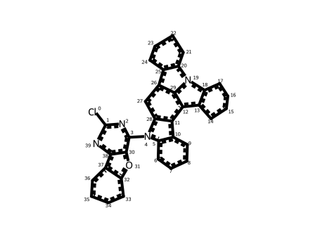 Clc1nc(-n2c3ccccc3c3c4c5ccccc5n5c6ccccc6c(cc32)c45)c2oc3ccccc3c2n1